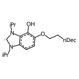 CCCCCCCCCCCCOc1ccc2c(c1O)N(C(C)C)[C]N2C(C)C